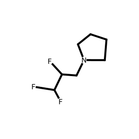 FC(F)C(F)CN1CCCC1